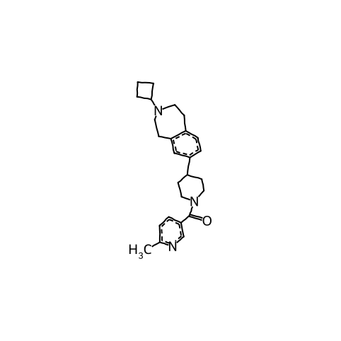 Cc1ccc(C(=O)N2CCC(c3ccc4c(c3)CCN(C3CCC3)CC4)CC2)cn1